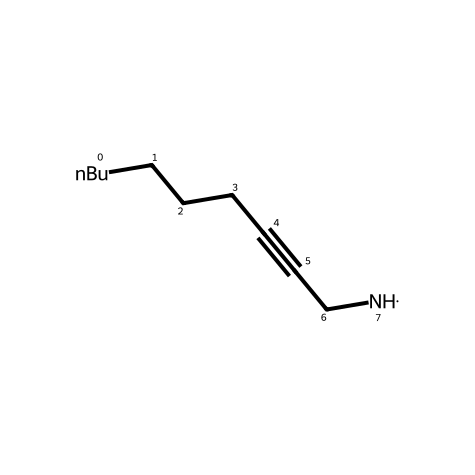 CCCCCCCC#CC[NH]